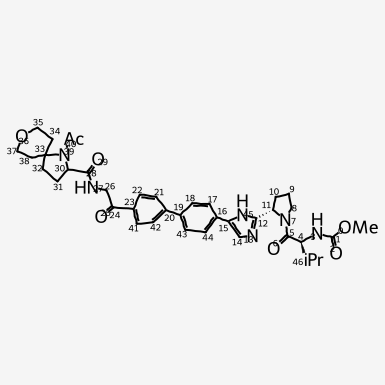 COC(=O)N[C@H](C(=O)N1CCC[C@H]1c1ncc(-c2ccc(-c3ccc(C(=O)CNC(=O)C4CCC5(CCOCC5)N4C(C)=O)cc3)cc2)[nH]1)C(C)C